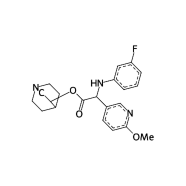 COc1ccc(C(Nc2cccc(F)c2)C(=O)OC2CN3CCC2CC3)cn1